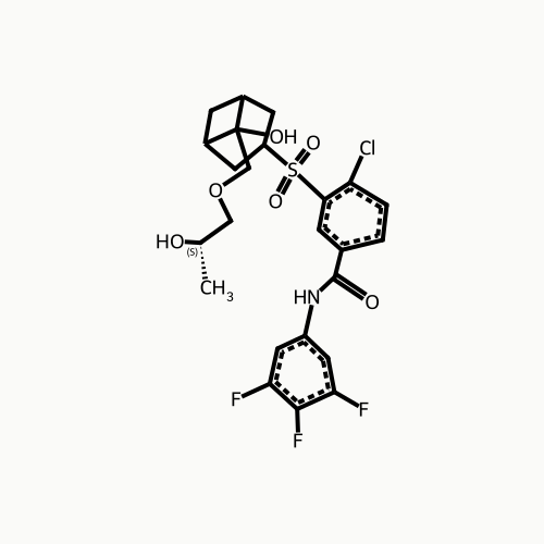 C[C@H](O)COCC1(O)C2CC1CC(S(=O)(=O)c1cc(C(=O)Nc3cc(F)c(F)c(F)c3)ccc1Cl)C2